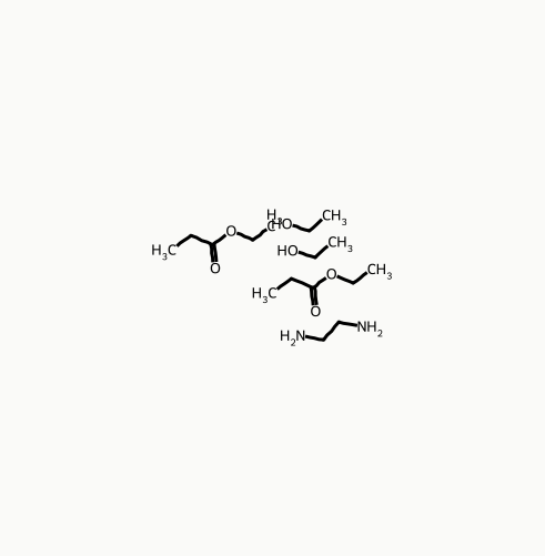 CCO.CCO.CCOC(=O)CC.CCOC(=O)CC.NCCN